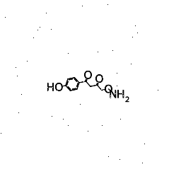 NOCC(=O)CC(=O)c1ccc(O)cc1